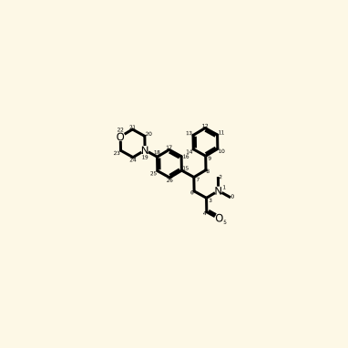 CN(C)C(C=O)CC(Cc1ccccc1)c1ccc(N2CCOCC2)cc1